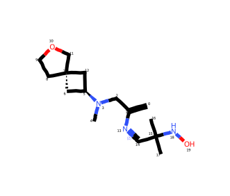 C=C(CN(C)[C@H]1C[C@@]2(CCOC2)C1)/N=C\C(C)(C)NO